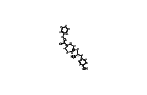 NC(Cc1ccc(O)cc1)CN1CCCN(C(=O)OCc2ccccc2)CC1